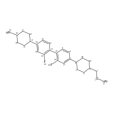 CCCOCC1CCC(c2ccc(-c3ccc(C4CCC(CCC)CC4)cc3F)c(F)c2)CC1